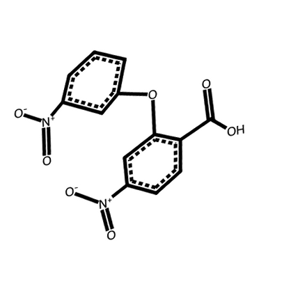 O=C(O)c1ccc([N+](=O)[O-])cc1Oc1cccc([N+](=O)[O-])c1